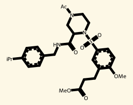 COC(=O)CCc1cc(S(=O)(=O)N2CCN(C(C)=O)CC2C(=O)NCc2ccc(C(C)C)cc2)ccc1OC